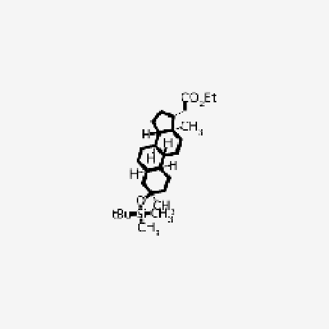 CCOC(=O)C[C@H]1CC[C@H]2[C@@H]3CC[C@@H]4C[C@](C)(O[Si](C)(C)C(C)(C)C)CC[C@@H]4[C@H]3CC[C@]12C